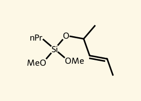 CC=CC(C)O[Si](CCC)(OC)OC